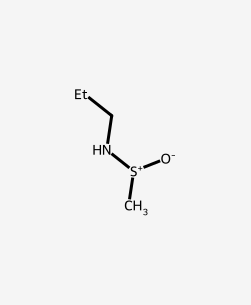 [CH2]CCN[S+](C)[O-]